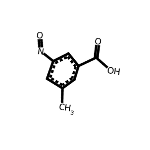 Cc1cc(N=O)cc(C(=O)O)c1